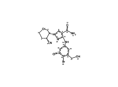 N#C[C@H]1CCOCC1n1cc(C(N)=O)c(Nc2cc(Cl)c(Br)c(CO)c2)n1